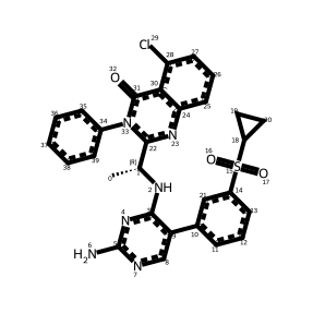 C[C@@H](Nc1nc(N)ncc1-c1cccc(S(=O)(=O)C2CC2)c1)c1nc2cccc(Cl)c2c(=O)n1-c1ccccc1